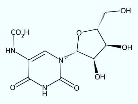 O=C(O)Nc1cn([C@@H]2O[C@H](CO)[C@@H](O)[C@H]2O)c(=O)[nH]c1=O